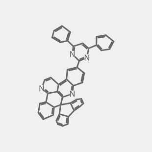 c1ccc(-c2cc(-c3ccccc3)nc(-c3ccc4nc5c6c(nccc6c4c3)-c3ccccc3C53c4ccccc4-c4ccccc43)n2)cc1